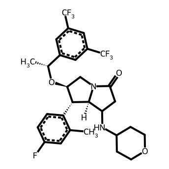 Cc1cc(F)ccc1[C@@H]1[C@@H](O[C@H](C)c2cc(C(F)(F)F)cc(C(F)(F)F)c2)CN2C(=O)CC(NC3CCOCC3)[C@@H]12